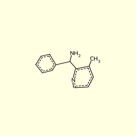 Cc1cccnc1C(N)c1ccccc1